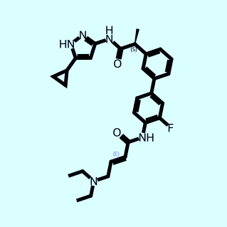 CCN(CC)C/C=C/C(=O)Nc1ccc(-c2cccc([C@H](C)C(=O)Nc3cc(C4CC4)[nH]n3)c2)cc1F